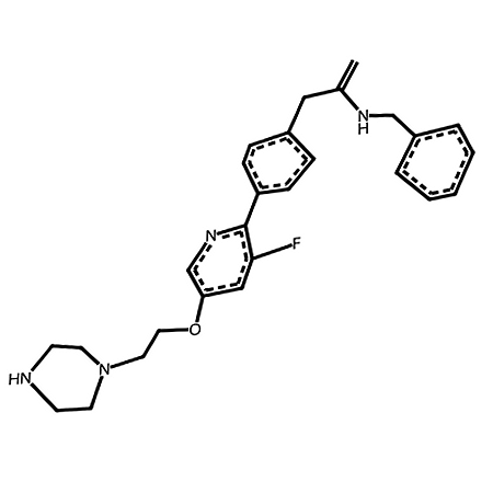 C=C(Cc1ccc(-c2ncc(OCCN3CCNCC3)cc2F)cc1)NCc1ccccc1